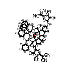 CCN1C(=O)/C(=N/C2=Cc3sc4c(c3C2(C(=O)OCc2ccccc2)C(=O)OCc2ccccc2)C(C(=O)OCc2ccccc2)(C(=O)OCc2ccccc2)c2cc(/N=C3\SC(=C(C#N)C#N)N(CC)C3=O)sc2-4)SC1=C(C#N)C#N